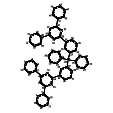 c1ccc(-c2cc(-c3ccccc3)nc(-c3cccc([Si](c4ccccc4)(c4ccccc4)c4cccc(-c5nc(-c6ccccc6)cc(-c6ccccc6)n5)c4)c3)n2)cc1